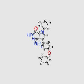 Nc1n[nH]c(=O)c2c1c(-c1ccc(Oc3ccccc3)cc1)cn2-c1ccccc1